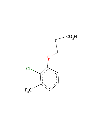 O=C(O)CCOc1cccc(C(F)(F)F)c1Cl